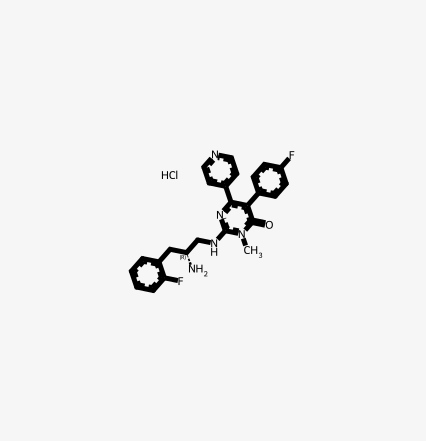 Cl.Cn1c(NC[C@H](N)Cc2ccccc2F)nc(-c2ccncc2)c(-c2ccc(F)cc2)c1=O